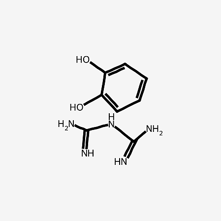 N=C(N)NC(=N)N.Oc1ccccc1O